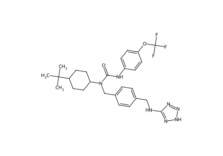 CC(C)(C)C1CCC(N(Cc2ccc(CNc3nn[nH]n3)cc2)C(=O)Nc2ccc(OC(F)(F)F)cc2)CC1